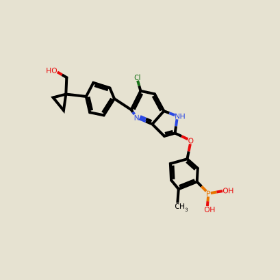 Cc1ccc(Oc2cc3nc(-c4ccc(C5(CO)CC5)cc4)c(Cl)cc3[nH]2)cc1P(O)O